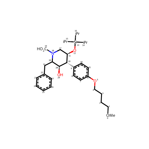 COCCCCOc1ccc([C@H]2[C@H](O[Si](C(C)C)(C(C)C)C(C)C)CN(C(=O)O)C(Cc3ccccc3)[C@@H]2O)cc1